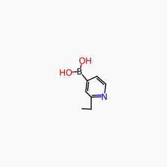 CCc1cc(B(O)O)ccn1